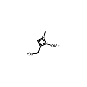 COn1c(CC(C)(C)C)cn1C